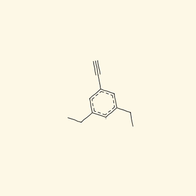 C#Cc1cc(CC)[c]c(CC)c1